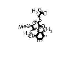 C=C(Cl)CSCC(=O)N(c1c(C)cccc1CC)C(C)C(=O)OC